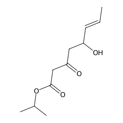 C/C=C/C(O)CC(=O)CC(=O)OC(C)C